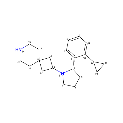 c1ccc([C@@H]2CCCN2C2CC3(CCNCC3)C2)c(C2CC2)c1